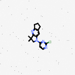 CC1(C)CN(c2ccnc(Cl)n2)c2cc3c(nc21)CCC3